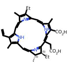 C=Cc1c(C)c2cc3nc(c(CC(=O)O)c4[nH]c(cc5nc(cc1[nH]2)C(C)=C5CC)c(C)c4C(=O)O)[C@@H](CC)[C@@H]3C